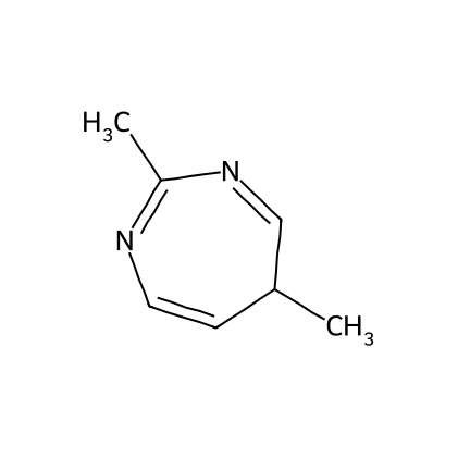 CC1=NC=CC(C)C=N1